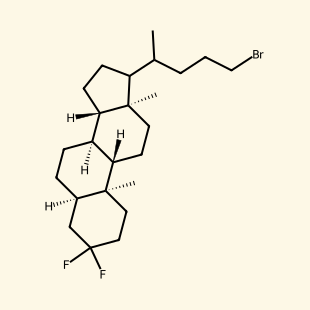 CC(CCCBr)C1CC[C@H]2[C@@H]3CC[C@@H]4CC(F)(F)CC[C@]4(C)[C@H]3CC[C@]12C